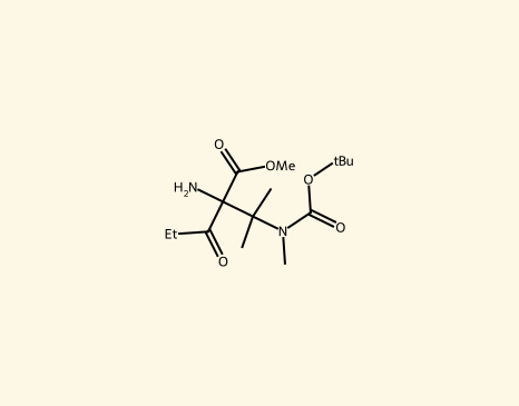 CCC(=O)C(N)(C(=O)OC)C(C)(C)N(C)C(=O)OC(C)(C)C